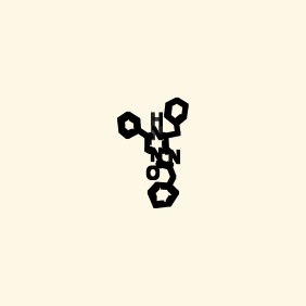 O=c1c(Cc2ccccc2)nc2c(CC3=CCCC=C3)[nH]c(-c3ccccc3)cn1-2